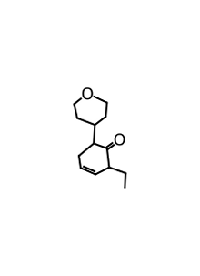 CCC1C=CCC(C2CCOCC2)C1=O